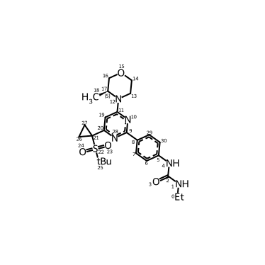 CCNC(=O)Nc1ccc(-c2nc(N3CCOC[C@@H]3C)cc(C3(S(=O)(=O)C(C)(C)C)CC3)n2)cc1